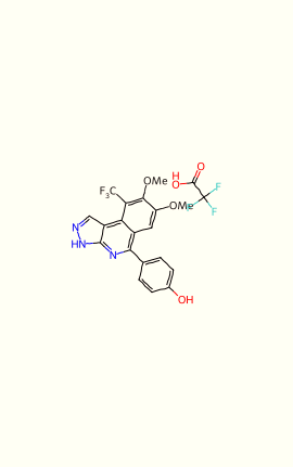 COc1cc2c(-c3ccc(O)cc3)nc3[nH]ncc3c2c(C(F)(F)F)c1OC.O=C(O)C(F)(F)F